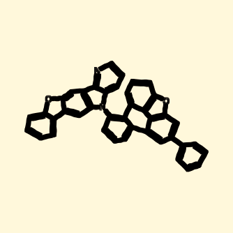 c1ccc(-c2cc3oc4cccc5c6c(-n7c8cc9c(cc8c8ncccc87)oc7ccccc79)cccc6c(c2)c3c45)cc1